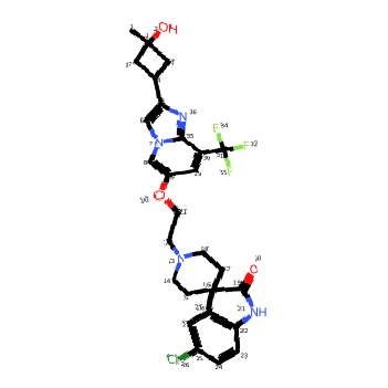 CC1(O)CC(c2cn3cc(OCCN4CCC5(CC4)C(=O)Nc4ccc(Cl)cc45)cc(C(F)(F)F)c3n2)C1